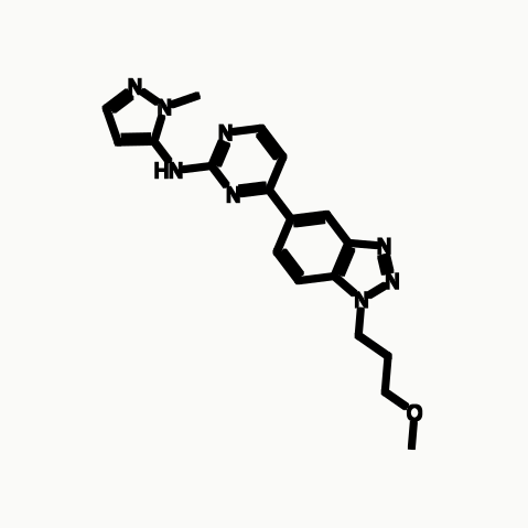 COCCCn1nnc2cc(-c3ccnc(Nc4ccnn4C)n3)ccc21